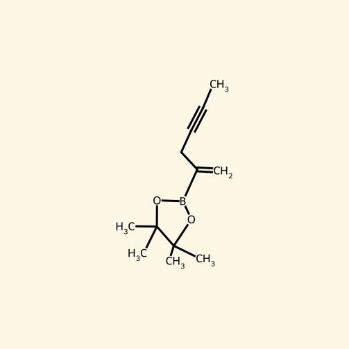 C=C(CC#CC)B1OC(C)(C)C(C)(C)O1